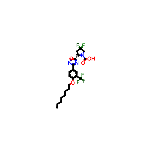 CCCCCCCCOc1ccc(-c2noc([C@@H]3CC(F)(F)CN3C(=O)O)n2)cc1C(F)(F)F